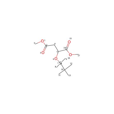 COC(=O)CC(O[Si](C)(C)C(C)(C)C)C(=O)OC